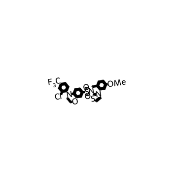 COc1ccc(CN(c2nccs2)S(=O)(=O)c2ccc3c(c2)OCCN3c2ccc(C(F)(F)F)cc2Cl)cc1